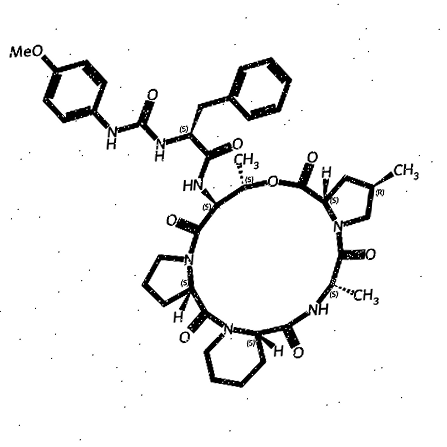 COc1ccc(NC(=O)N[C@@H](Cc2ccccc2)C(=O)N[C@@H]2C(=O)N3CCC[C@H]3C(=O)N3CCCC[C@H]3C(=O)N[C@@H](C)C(=O)N3C[C@H](C)C[C@H]3C(=O)O[C@H]2C)cc1